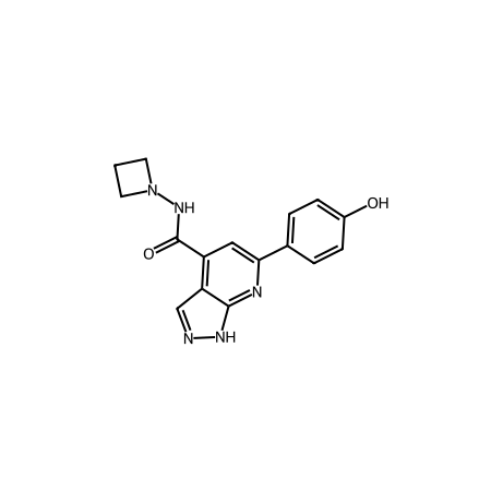 O=C(NN1CCC1)c1cc(-c2ccc(O)cc2)nc2[nH]ncc12